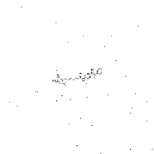 O=C(CCCCCCC1C(=O)CC(O)C1Br)Oc1ccc(NC(=O)c2ccccc2)cc1